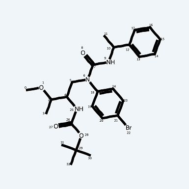 COC(C)C(CN(C(=O)NC(C)c1ccccc1)c1ccc(Br)cc1)NC(=O)OC(C)(C)C